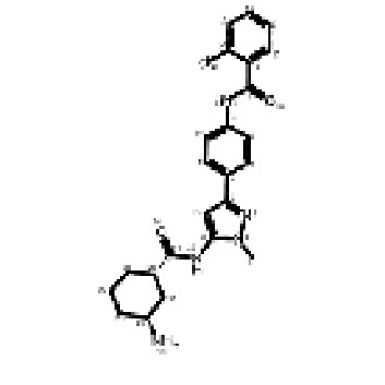 Cn1nc(-c2ccc(NC(=O)c3ccccc3Cl)cc2)cc1NC(=O)[C@H]1CCC[C@H](N)C1